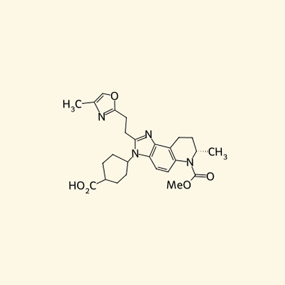 COC(=O)N1c2ccc3c(nc(CCc4nc(C)co4)n3C3CCC(C(=O)O)CC3)c2CC[C@@H]1C